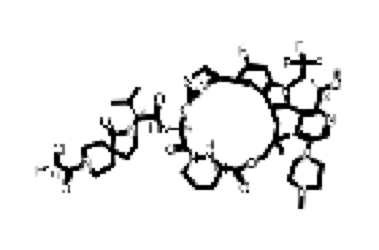 CO[C@@H](C)c1ncc(N2CCN(C)CC2)cc1-c1c2c3cc(c(F)cc3n1CC(F)(F)F)-c1csc(n1)C[C@H](NC(=O)[C@H](C(C)C)N1CCC3(CCN(C(=O)[C@H](F)Cl)CC3)C1=O)C(=O)N1CCC[C@H](N1)C(=O)OCC(C)(C)C2